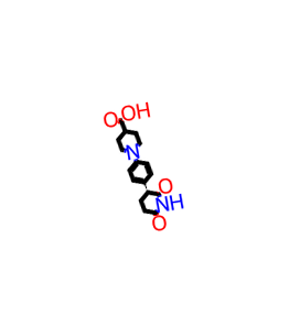 O=C1CC[C@H](c2ccc(N3CCC(C(=O)O)CC3)cc2)C(=O)N1